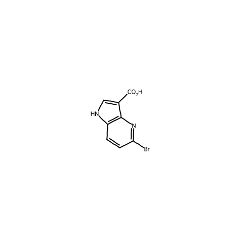 O=C(O)c1c[nH]c2ccc(Br)nc12